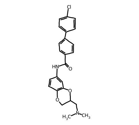 CN(C)CC1COc2ccc(NC(=O)c3ccc(-c4ccc(Cl)cc4)cc3)cc2O1